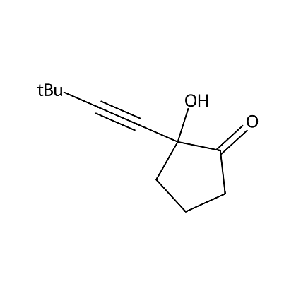 CC(C)(C)C#CC1(O)CCCC1=O